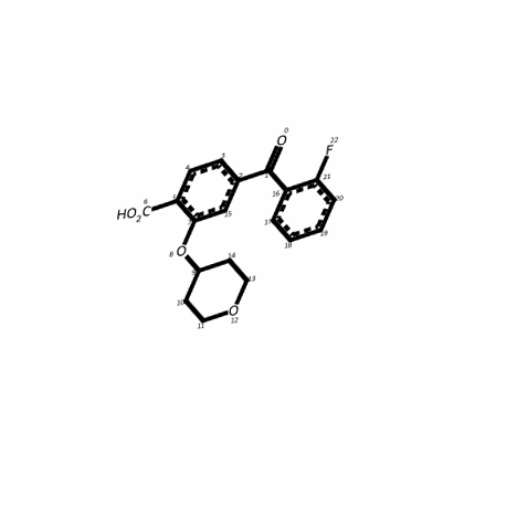 O=C(c1ccc(C(=O)O)c(OC2CCOCC2)c1)c1ccccc1F